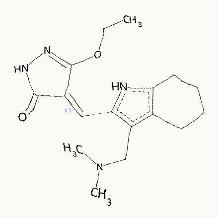 CCOC1=NNC(=O)/C1=C/c1[nH]c2c(c1CN(C)C)CCCC2